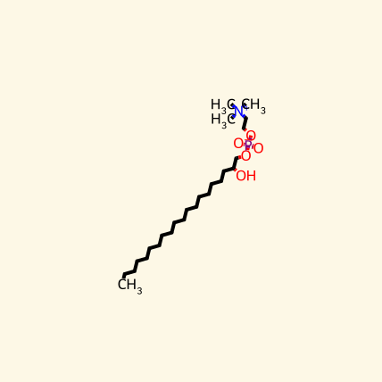 CCCCCCCCCCCCCCCCCCC(O)COP(=O)([O-])OCC[N+](C)(C)C